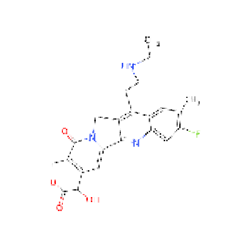 CCNCCc1c2c(nc3cc(F)c(C)cc13)-c1cc3c(c(=O)n1C2)COC(=O)C3O